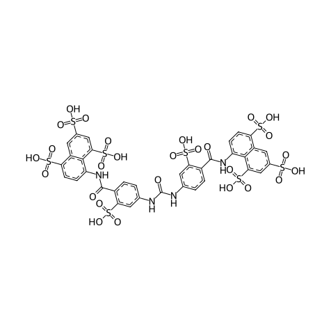 O=C(Nc1ccc(C(=O)Nc2ccc(S(=O)(=O)O)c3cc(S(=O)(=O)O)cc(S(=O)(=O)O)c23)c(S(=O)(=O)O)c1)Nc1ccc(C(=O)Nc2ccc(S(=O)(=O)O)c3cc(S(=O)(=O)O)cc(S(=O)(=O)O)c23)c(S(=O)(=O)O)c1